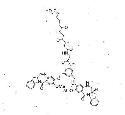 COc1cc2c(cc1OCc1cc(COc3cc4c(cc3OC)C(=O)N3c5ccccc5C[C@H]3CN4)cc(N(C)C(=O)CNC(=O)CNC(=O)CNC(=O)CCCCC(=O)O)c1)N=CC1Cc3ccccc3N1C2=O